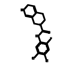 O=C(Nc1cc(Cl)c(Cl)cc1F)N1CCC2=CCNC=C2C1